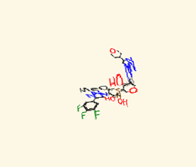 CO[C@H]1C[SH]([C@@H]2COC[C@H](n3cc(C4CCOCC4)nn3)[C@H]2O)[C@H](CO)[C@H](O)[C@@H]1n1cc(-c2cc(F)c(F)c(F)c2)nn1